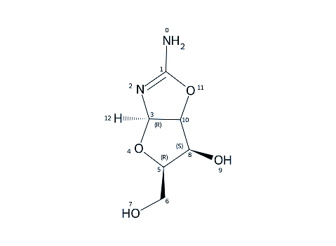 NC1=N[C@@H]2O[C@H](CO)[C@H](O)C2O1